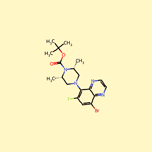 C[C@@H]1CN(c2c(F)cc(Br)c3nccnc23)C[C@H](C)N1C(=O)OC(C)(C)C